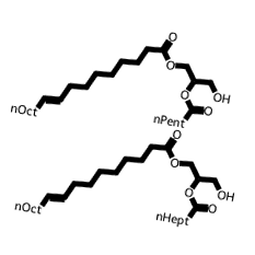 CCCCCCCCC=CCCCCCCCC(=O)OCC(CO)OC(=O)CCCCC.CCCCCCCCC=CCCCCCCCC(=O)OCC(CO)OC(=O)CCCCCCC